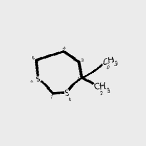 CC1(C)CCCSCS1